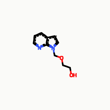 OCCOCn1c[c]c2cccnc21